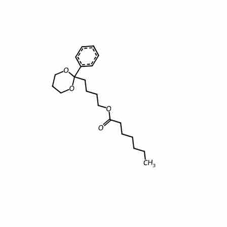 CCCCCCC(=O)OCCCCC1(c2ccccc2)OCCCO1